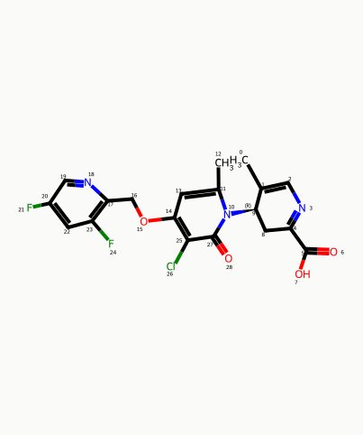 CC1=CN=C(C(=O)O)C[C@H]1n1c(C)cc(OCc2ncc(F)cc2F)c(Cl)c1=O